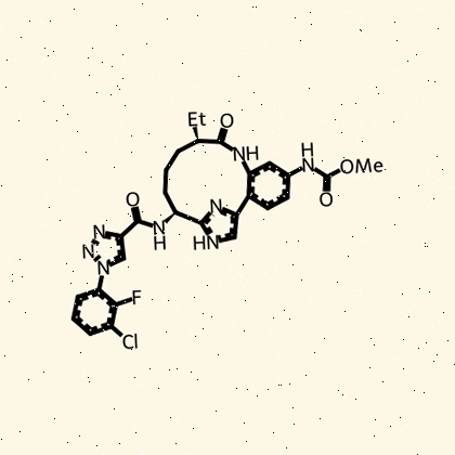 CC[C@@H]1CCC[C@H](NC(=O)c2cn(-c3cccc(Cl)c3F)nn2)c2nc(c[nH]2)-c2ccc(NC(=O)OC)cc2NC1=O